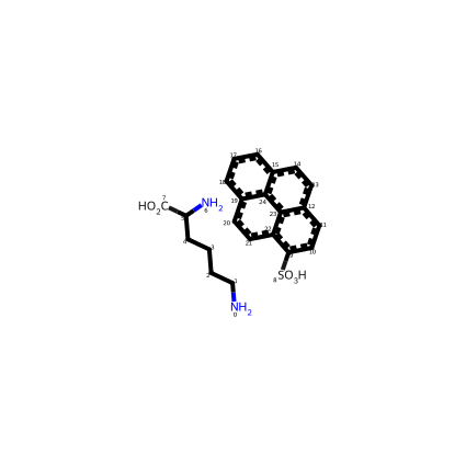 NCCCCC(N)C(=O)O.O=S(=O)(O)c1ccc2ccc3cccc4ccc1c2c34